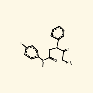 CN(C(=O)CN(C(=O)CN)c1ccccc1)c1ccc(F)cc1